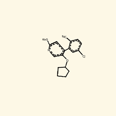 COc1cc(-c2cc(Cl)ccc2C#N)c(OC2CCCC2)cn1